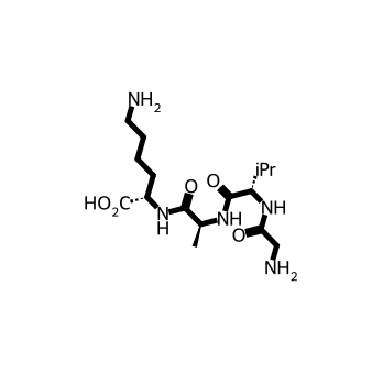 CC(C)[C@H](NC(=O)CN)C(=O)N[C@@H](C)C(=O)N[C@@H](CCCCN)C(=O)O